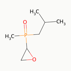 CC(C)CP(C)(=O)C1CO1